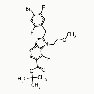 COCCn1c(Cc2cc(F)c(Br)cc2F)cc2ccc(C(=O)OC(C)(C)C)c(F)c21